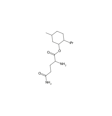 CC1CCC(C(C)C)C(OC(=O)C(N)CCC(N)=O)C1